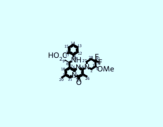 CO[C@H]1CN(c2nc3c([C@@H](C)Nc4ccccc4C(=O)O)cc(C)cn3c(=O)c2C)CCC1(F)F